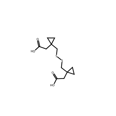 O=C(O)CC1(CSSCC2(CC(=O)O)CC2)CC1